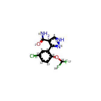 NC(=O)c1c[nH]nc1-c1cc(Cl)ccc1OC(F)F